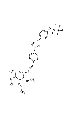 CCO[C@@H]1[C@@H](OC)[C@H](C)O[C@@H](ON=Cc2ccc(-c3ncn(-c4ccc(OC(F)(F)C(F)(F)F)cc4)n3)cc2)[C@@H]1OC